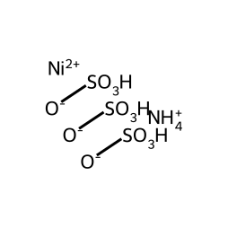 O=S(=O)([O-])O.O=S(=O)([O-])O.O=S(=O)([O-])O.[NH4+].[Ni+2]